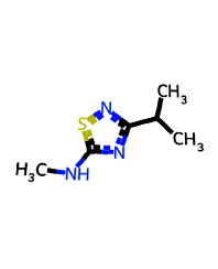 CNc1nc(C(C)C)ns1